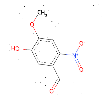 COc1cc([N+](=O)[O-])c(C=O)cc1O